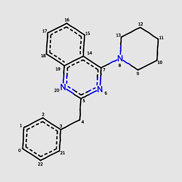 c1ccc(Cc2nc(N3CCCCC3)c3ccccc3n2)cc1